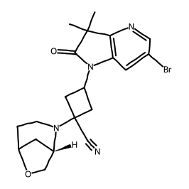 CC1(C)C(=O)N(C2CC(C#N)(N3CCC4C[C@H]3CO4)C2)c2cc(Br)cnc21